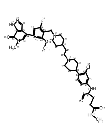 CNC(=O)CCC(C=O)Nc1ccc(C2CCN(CCC3CCN(Cc4c(F)cc(-c5cn(C)c(=O)c6[nH]ncc56)cc4OC)CC3)CC2)c(Cl)c1